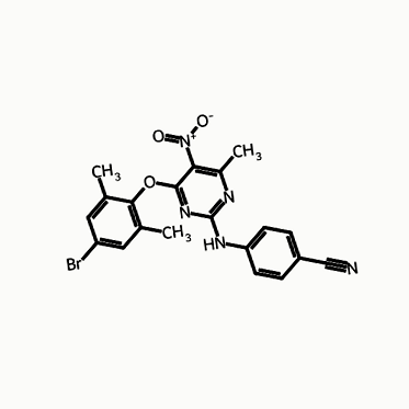 Cc1cc(Br)cc(C)c1Oc1nc(Nc2ccc(C#N)cc2)nc(C)c1[N+](=O)[O-]